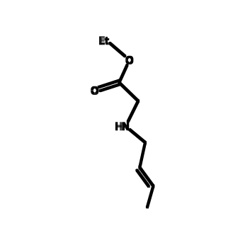 CC=CCNCC(=O)OCC